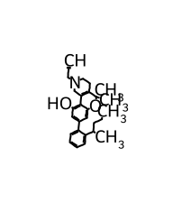 C#CCN1CCC2=C(C1)c1c(O)cc(-c3ccccc3C(C)CCC)cc1OC2(C)C